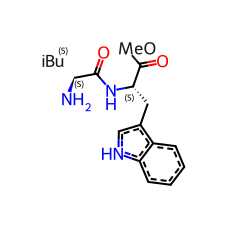 CC[C@H](C)[C@H](N)C(=O)N[C@@H](Cc1c[nH]c2ccccc12)C(=O)OC